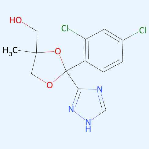 CC1(CO)COC(c2nc[nH]n2)(c2ccc(Cl)cc2Cl)O1